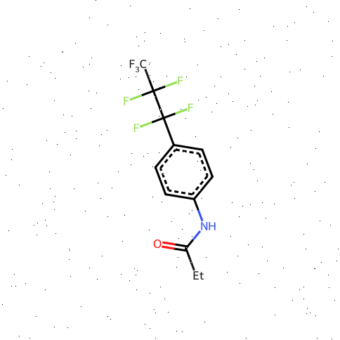 CCC(=O)Nc1ccc(C(F)(F)C(F)(F)C(F)(F)F)cc1